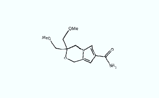 COCC1(COC)Cn2cc(C(N)=O)cc2CO1